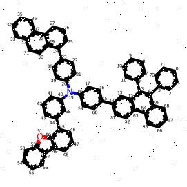 c1ccc(-c2c(-c3ccccc3)c3cc(-c4ccc(N(c5ccc(-c6cccc7c6ccc6ccccc67)cc5)c5cccc(-c6cccc7c6oc6ccccc67)c5)cc4)ccc3c3ccccc23)cc1